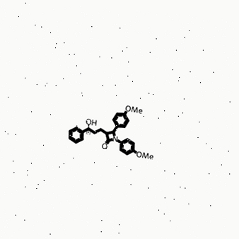 COc1ccc(C2C(CC[C@@H](O)c3ccccc3)C(=O)N2c2ccc(OC)cc2)cc1